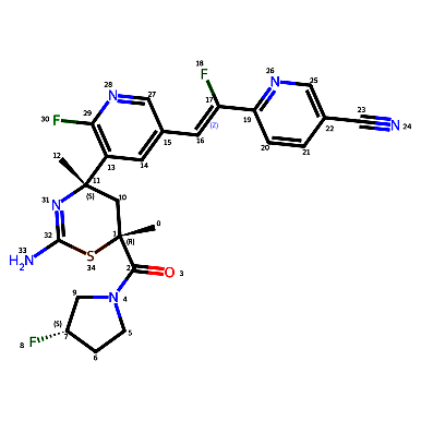 C[C@]1(C(=O)N2CC[C@H](F)C2)C[C@@](C)(c2cc(/C=C(\F)c3ccc(C#N)cn3)cnc2F)N=C(N)S1